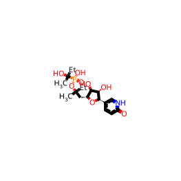 CCC(C)(C[C@H]1O[C@@H](c2ccc(=O)[nH]c2)[C@@H](O)C1O)OP(=O)(O)C(C)(O)CC